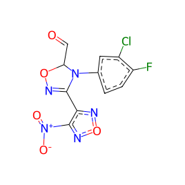 O=CC1ON=C(c2nonc2[N+](=O)[O-])N1c1ccc(F)c(Cl)c1